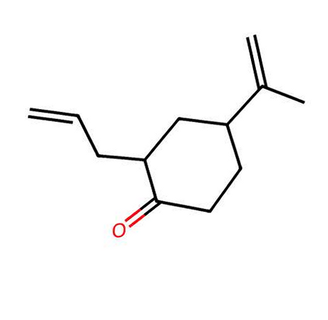 C=CCC1CC(C(=C)C)CCC1=O